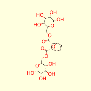 O=C(OCC1O[C@@H](O)[C@@H](O)[C@H](O)[C@@H]1O)[C@@H]1C2C=CC(O2)[C@@H]1C(=O)OCC1O[C@@H](O)[C@@H](O)[C@H](O)[C@@H]1O